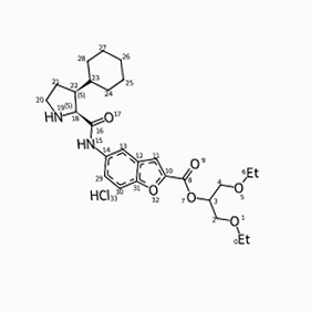 CCOCC(COCC)OC(=O)c1cc2cc(NC(=O)[C@H]3NCC[C@H]3C3CCCCC3)ccc2o1.Cl